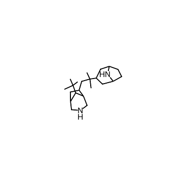 CC(C)(C)C1C2CNCC1C(CC(C)(C)C1CC3CCC(C1)N3)C2